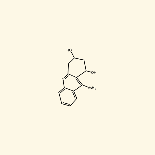 OC1Cc2nc3ccccc3c([AsH2])c2C(O)C1